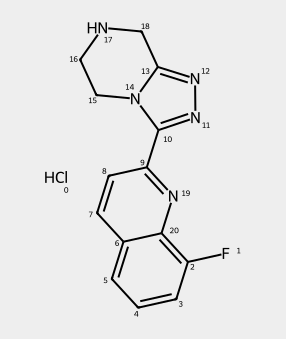 Cl.Fc1cccc2ccc(-c3nnc4n3CCNC4)nc12